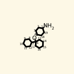 NC1CCC(OC2(C3CCCCC3)CCCCC2)CC1